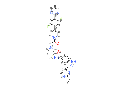 CCc1nccc(-c2n[nH]c3ccc(NC(=O)[C@]4(SC)CCN(CC(=O)N5CC=C(c6cc(F)c(-c7ncccn7)cc6F)CC5)C4)cc23)n1